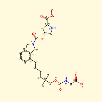 COC(=O)[C@@H]1C[C@@H](OC(=O)N2Cc3cccc(CCCCC(C)(C)COC(=O)NCC(=O)O)c3C2)CN1